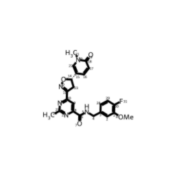 COc1cc(CNC(=O)c2cc(C3=NO[C@H](c4ccc(=O)n(C)c4)C3)nc(C)n2)ccc1F